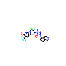 COc1nc2c(cc1C(F)(F)F)C1CC(NC(=O)Nc3cccc4c(C)nccc34)CCN21.Cl